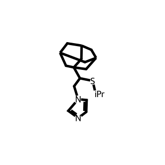 CC(C)SC(Cn1ccnc1)C12CC3CC(CC(C3)C1)C2